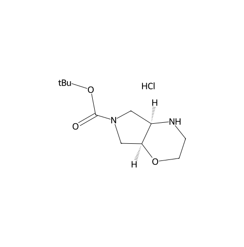 CC(C)(C)OC(=O)N1C[C@@H]2OCCN[C@@H]2C1.Cl